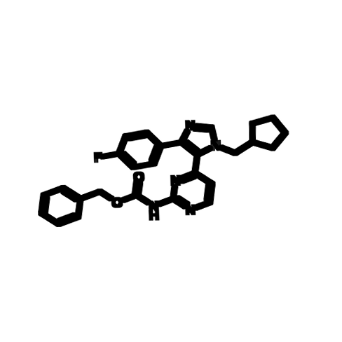 O=C(Nc1nccc(-c2c(-c3ccc(F)cc3)ncn2CC2CCCC2)n1)OCc1ccccc1